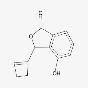 O=C1OC(C2=CCC2)c2c(O)cccc21